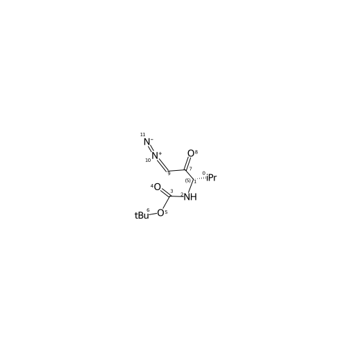 CC(C)[C@H](NC(=O)OC(C)(C)C)C(=O)C=[N+]=[N-]